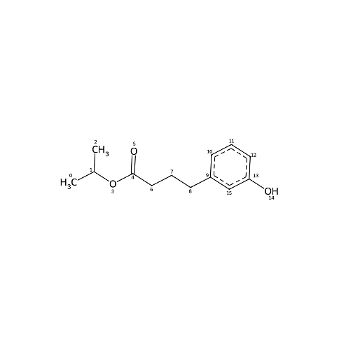 CC(C)OC(=O)CCCc1cccc(O)c1